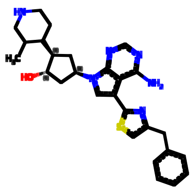 CC1CNCCC1[C@H]1C[C@@H](n2cc(-c3nc(Cc4ccccc4)cs3)c3c(N)ncnc32)C[C@@H]1O